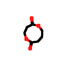 O=C1CCCOC(=O)CCO1